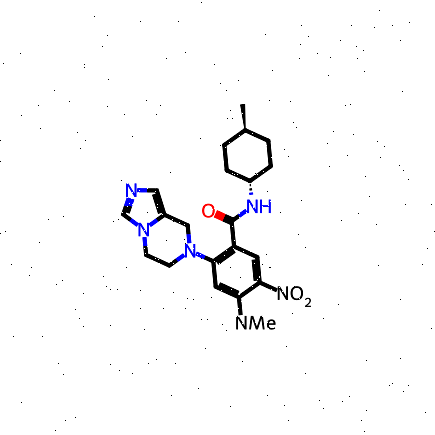 CNc1cc(N2CCn3cncc3C2)c(C(=O)N[C@H]2CC[C@H](C)CC2)cc1[N+](=O)[O-]